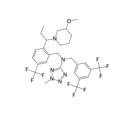 CCC(c1ccc(C(F)(F)F)cc1CN(Cc1cc(C(F)(F)F)cc(C(F)(F)F)c1)c1nnn(C)n1)N1CCCC(OC)C1